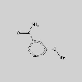 CC(C)Oc1cccc(C(N)=O)c1